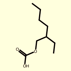 CCCCC(CC)COC(=O)O